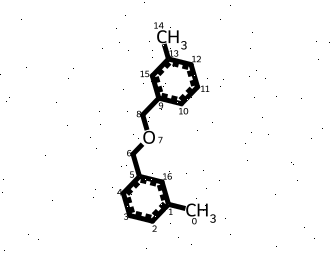 Cc1cccc(COCc2cccc(C)c2)c1